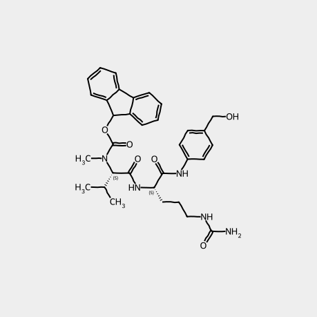 CC(C)[C@@H](C(=O)N[C@@H](CCCNC(N)=O)C(=O)Nc1ccc(CO)cc1)N(C)C(=O)OC1c2ccccc2-c2ccccc21